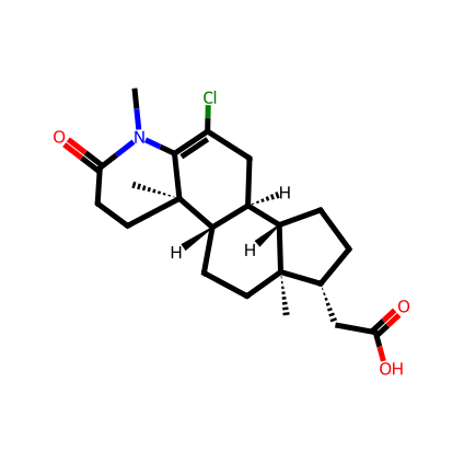 CN1C(=O)CC[C@@]2(C)C1=C(Cl)C[C@H]1[C@@H]3CC[C@H](CC(=O)O)[C@@]3(C)CC[C@@H]12